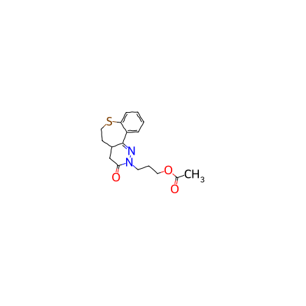 CC(=O)OCCCN1N=C2c3ccccc3SCCC2CC1=O